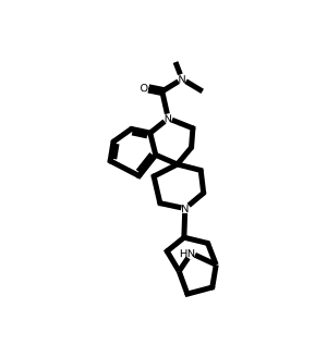 CN(C)C(=O)N1CCC2(CCN(C3CC4CCC(C3)N4)CC2)c2ccccc21